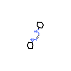 C(=NNC1CCCCC1)=NNC1CCCCC1